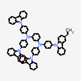 C=Cc1ccc2c(c1)c1ccccc1n2-c1ccc(N(c2ccc(-n3c4ccccc4c4ccccc43)cc2)c2cccc(N(c3ccc(-n4c5ccccc5c5ccccc54)cc3)c3ccc(-n4c5ccccc5c5ccccc54)cc3)c2)cc1